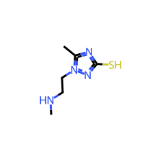 CNCCn1nc(S)nc1C